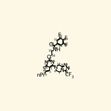 CCCc1cc2c(N3CCn4c(nnc4C(F)(F)F)C3)nc(OCCNC(=O)c3cc(F)c(F)c(F)c3)nc2s1